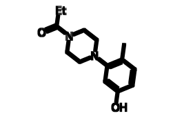 CCC(=O)N1CCN(c2cc(O)ccc2C)CC1